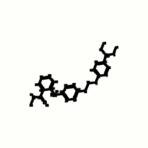 CCN(CC)c1ccc(CCCc2ccc(Nc3ccccc3C(=O)OC)cc2)cc1